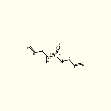 C=CC[N][14C](=O)NCC=C